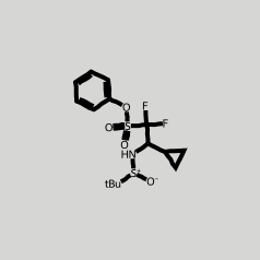 CC(C)(C)[S+]([O-])NC(C1CC1)C(F)(F)S(=O)(=O)Oc1ccccc1